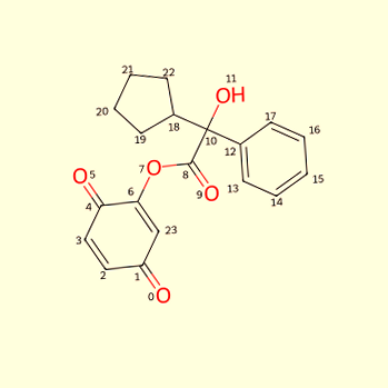 O=C1C=CC(=O)C(OC(=O)C(O)(c2ccccc2)C2CCCC2)=C1